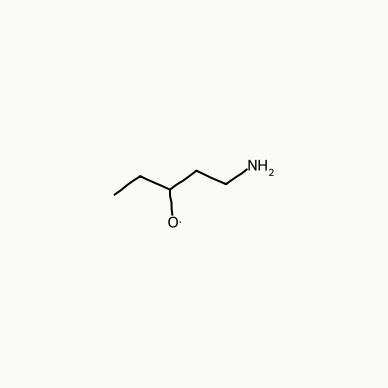 CCC([O])CCN